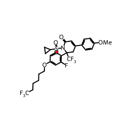 COc1ccc(C2=CC(=O)N(S(=O)(=O)C3CC3)C(c3ccc(OCCCCCC(F)(F)F)cc3F)(C(F)(F)F)C2)cc1